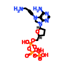 NCC#CN1CN([C@H]2CC[C@@H](COP(=O)(O)OP(=O)(O)OP(=O)(O)O)O2)c2ncnc(N)c21